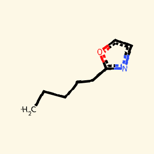 [CH2]CCCCc1ncco1